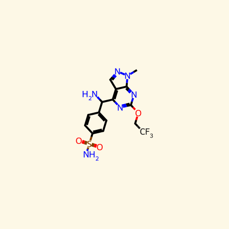 Cn1ncc2c(C(N)c3ccc(S(N)(=O)=O)cc3)nc(OCC(F)(F)F)nc21